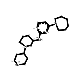 c1cc(N2CCCCCC2)nc(NC2CCCN(C3CCNCC3)C2)n1